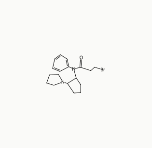 O=C(CCBr)N(c1ccccc1)C1CCCC1N1CCCC1